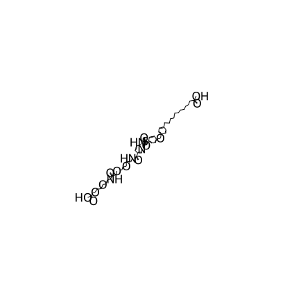 O=C(O)CCCCCCCCCCCc1ccc(Oc2ccc(S(=O)(=O)Nc3ccc(C(=O)NCCOCCOCC(=O)NCCOCCOCC(=O)O)cn3)cc2)cc1